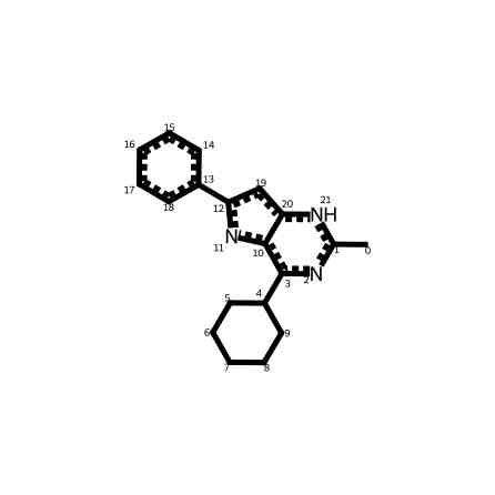 Cc1nc(C2CCCCC2)c2nc(-c3ccccc3)cc-2[nH]1